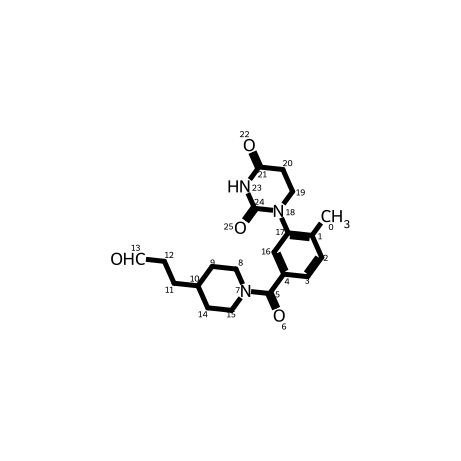 Cc1ccc(C(=O)N2CCC(CCC=O)CC2)cc1N1CCC(=O)NC1=O